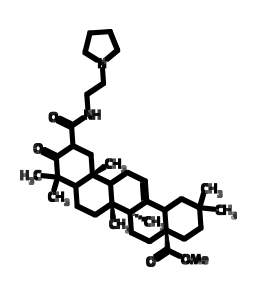 COC(=O)[C@]12CCC(C)(C)CC1C1=CCC3[C@@]4(C)CC(C(=O)NCCN5CCCC5)C(=O)C(C)(C)C4CC[C@@]3(C)[C@]1(C)CC2